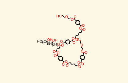 CC(O)C(=O)O.CC(O)C(=O)O.O=C(CCCCC(=O)OC(=O)c1ccc(C(=O)OC(=O)CCC(=O)OC(=O)c2ccc(C(=O)OC(=O)CCCCC(=O)OC(=O)c3ccc(C(=O)OCCOCCO)cc3)cc2)cc1)OC(=O)c1ccc(C(=O)OCCOCCO)cc1